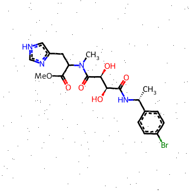 COC(=O)C(Cc1c[nH]cn1)N(C)C(=O)[C@@H](O)[C@H](O)C(=O)N[C@H](C)c1ccc(Br)cc1